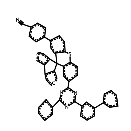 N#Cc1ccc(-c2ccc3c(c2)C2(c4cc(-c5nc(-c6ccccc6)nc(-c6cccc(-c7ccccc7)c6)n5)ccc4S3)c3ccccc3-c3ccccc32)cc1